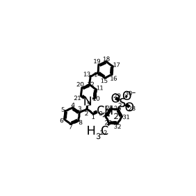 C=CC(c1ccccc1)[n+]1ccc(Cc2ccccc2)cc1.Cc1ccc(S(=O)(=O)[O-])cc1